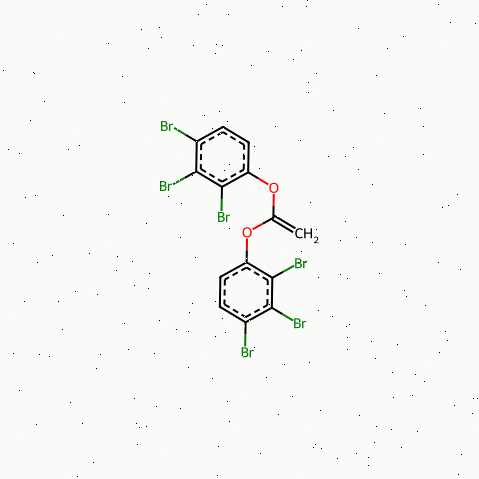 C=C(Oc1ccc(Br)c(Br)c1Br)Oc1ccc(Br)c(Br)c1Br